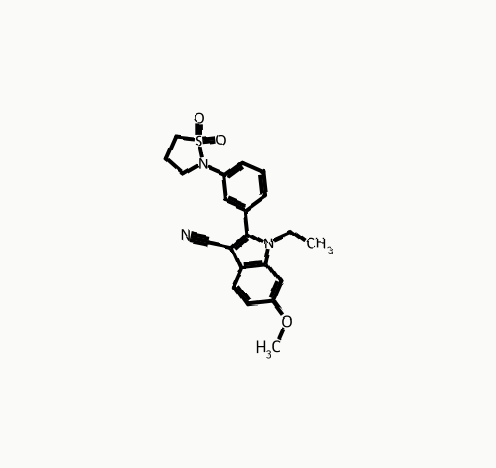 CCn1c(-c2cccc(N3CCCS3(=O)=O)c2)c(C#N)c2ccc(OC)cc21